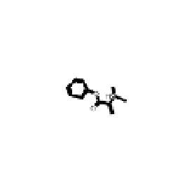 C=C(C(=O)Oc1ccccc1)[SiH](C)C